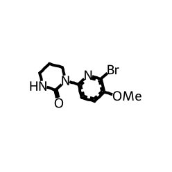 COc1ccc(N2CCCNC2=O)nc1Br